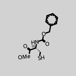 COC(=O)[C@@H](CS)NC(=O)OCc1ccccc1